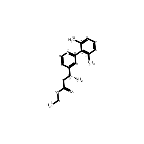 CCOC(=O)C[C@@H](N)c1ccnc(-c2c(C)cccc2C)c1